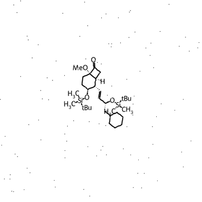 CO[C@@]12CC[C@H](O[Si](C)(C)C(C)(C)C)[C@@H](/C=C/[C@@H](CC3CCCCC3)O[Si](C)(C)C(C)(C)C)[C@@H]1CC2=O